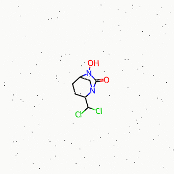 O=C1N(O)C2CCC(C(Cl)Cl)N1C2